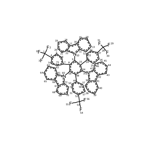 FC(F)(F)c1ccc(-c2c(-n3c4ccccc4c4ccccc43)c(-c3ccc(C(F)(F)F)cc3)c(-n3c4ccccc4c4ccccc43)c(-c3ccc(C(F)(F)F)cc3)c2-n2c3ccccc3c3ccccc32)cc1